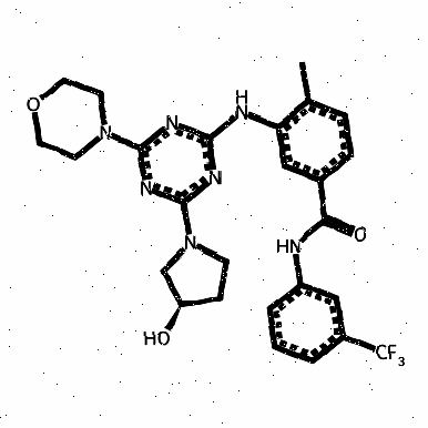 Cc1ccc(C(=O)Nc2cccc(C(F)(F)F)c2)cc1Nc1nc(N2CCOCC2)nc(N2CC[C@@H](O)C2)n1